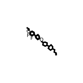 C=CCCC1CCC(C2CCC(COc3ccc(-c4ccc(OCC)c(F)c4F)cc3)CC2)CC1